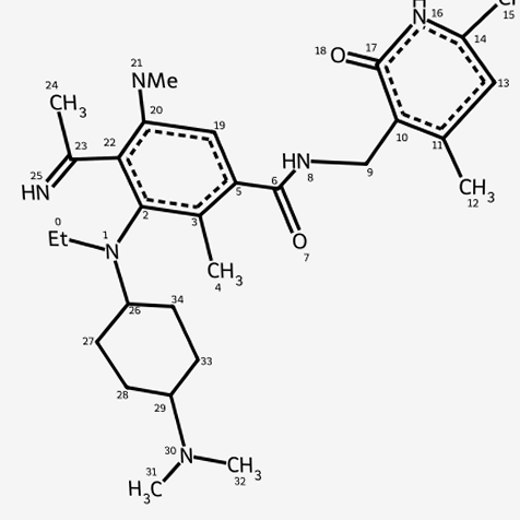 CCN(c1c(C)c(C(=O)NCc2c(C)cc(C)[nH]c2=O)cc(NC)c1C(C)=N)C1CCC(N(C)C)CC1